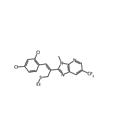 CCSC/C(=C\c1ccc(Cl)cc1Cl)c1nc2cc(C(F)(F)F)cnc2n1C